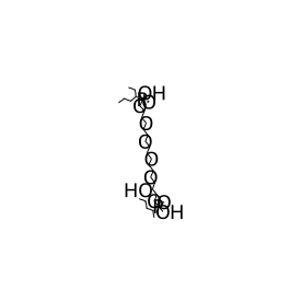 CCCC(C)P(=O)(O)OCC(O)COCCOCCOCCOCCOP(=O)(O)C(CC)CCC